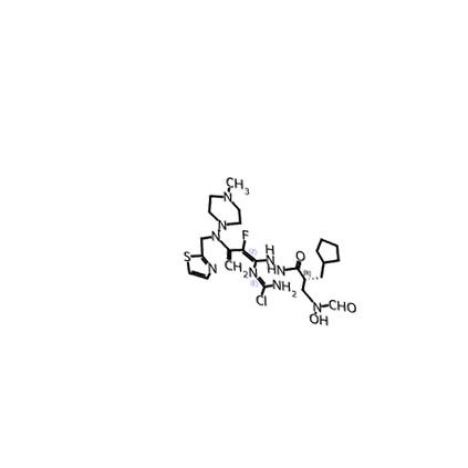 C=C(/C(F)=C(\N=C(/N)Cl)NNC(=O)[C@H](CC1CCCC1)CN(O)C=O)N(Cc1nccs1)N1CCN(C)CC1